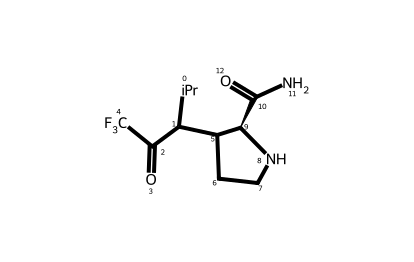 CC(C)C(C(=O)C(F)(F)F)C1CCN[C@@H]1C(N)=O